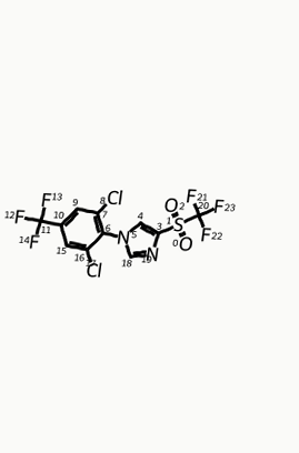 O=S(=O)(c1cn(-c2c(Cl)cc(C(F)(F)F)cc2Cl)cn1)C(F)(F)F